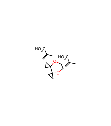 C1COC2(CC2)C2(CC2)O1.C=C(C)C(=O)O.C=C(C)C(=O)O